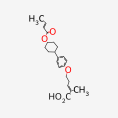 CC=CC(=O)OC1CCC(c2ccc(OCCC=C(C)C(=O)O)cc2)CC1